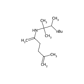 C=C(C)CCC(=C)NC(C)(C)C(C)CCCC